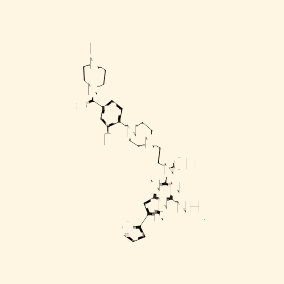 CN(CCN1CCN(c2ccc(C(=O)N3CCNCC3)cc2F)CC1)c1nc(N)n2nc(-c3ccco3)cc2n1